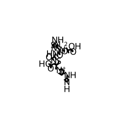 CC(C)(O/N=C(\C(=O)NC1C(=O)N2C(C(=O)O)=C(C[n+]3ccc(NC4CNC4)cc3)CSC12)c1nsc(N)n1)C(=O)O